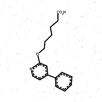 O=C(O)CCCCCOc1cc(-c2ccccc2)ccn1